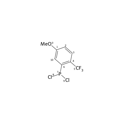 COc1ccc(C(F)(F)F)c(P(Cl)Cl)c1